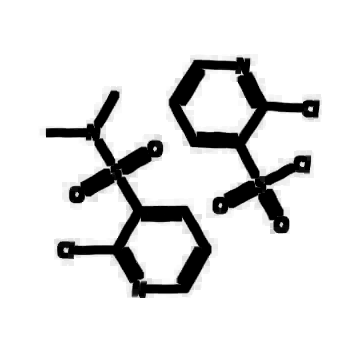 CN(C)S(=O)(=O)c1cccnc1Cl.O=S(=O)(Cl)c1cccnc1Cl